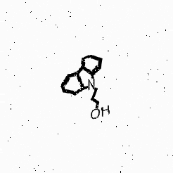 OCCCN1c2ccccc2C2C=CC=CC21